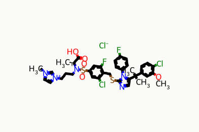 COc1cc(C(C)(C)c2cnc(SCc3c(F)cc(S(=O)(=O)N(CCC[n+]4ccn(C)c4)[C@H](C)C(=O)O)cc3Cl)n2-c2ccc(F)cc2)ccc1Cl.[Cl-]